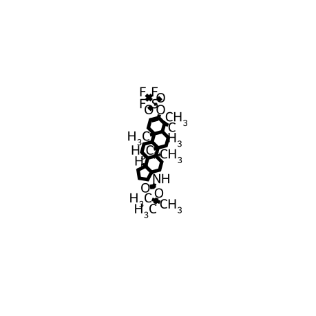 CC(C)(C)OC(=O)NC12CCC[C@@H]1C1CCC3C4(C)CC=C(OS(=O)(=O)C(F)(F)F)C(C)(C)C4CCC3(C)[C@]1(C)CC2